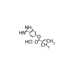 CC=C(C)C(=O)Oc1ccc(C(=N)N)cc1.Cl